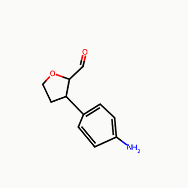 Nc1ccc(C2CCOC2C=O)cc1